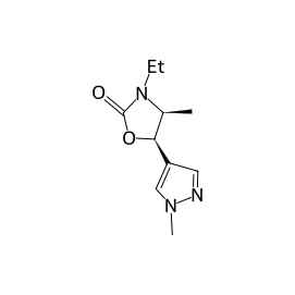 CCN1C(=O)O[C@H](c2cnn(C)c2)[C@@H]1C